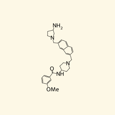 COc1cccc(C(=O)NC2CCN(Cc3ccc4ccc(CN5CCC(N)C5)cc4c3)CC2)c1